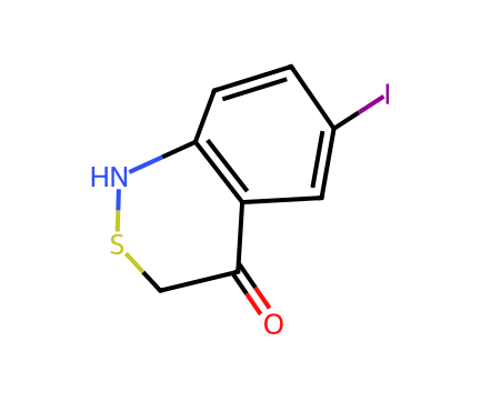 O=C1CSNc2ccc(I)cc21